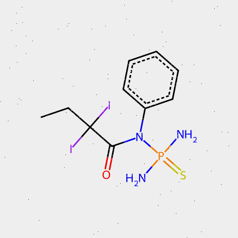 CCC(I)(I)C(=O)N(c1ccccc1)P(N)(N)=S